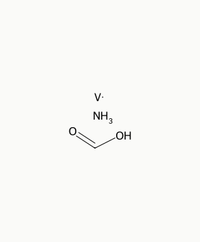 N.O=CO.[V]